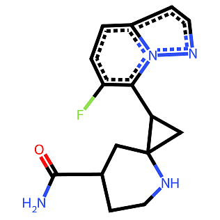 NC(=O)C1CCNC2(C1)CC2c1c(F)ccc2ccnn12